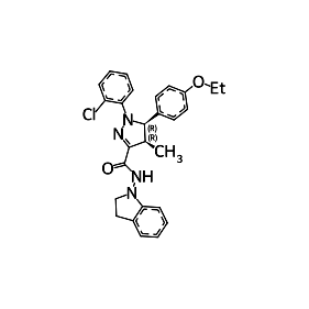 CCOc1ccc([C@H]2[C@@H](C)C(C(=O)NN3CCc4ccccc43)=NN2c2ccccc2Cl)cc1